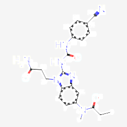 CCC(=O)N(C)c1ccc2c(c1)nc(NC(=O)Nc1ccc(C#N)cc1)n2CCC(N)=O